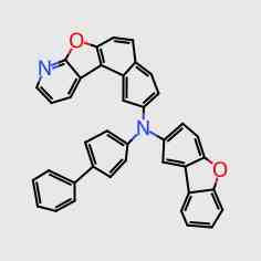 c1ccc(-c2ccc(N(c3ccc4oc5ccccc5c4c3)c3ccc4ccc5oc6ncccc6c5c4c3)cc2)cc1